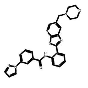 O=C(Nc1ccccc1-c1nc2cc(CN3CCOCC3)cnc2s1)c1cccc(-n2cccn2)c1